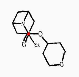 CCN1CC2CC(C1)N2C(=O)OC1CCOCC1